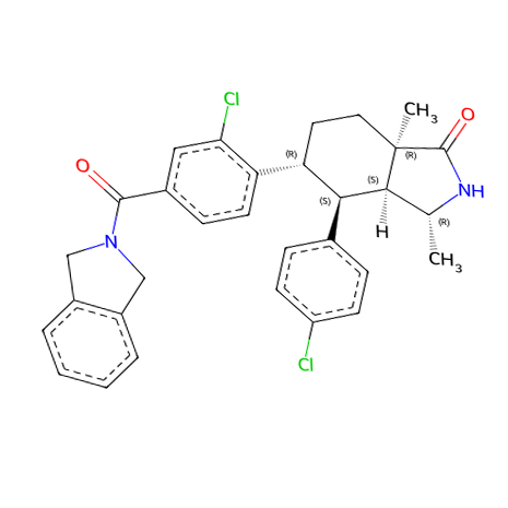 C[C@H]1NC(=O)[C@]2(C)CC[C@@H](c3ccc(C(=O)N4Cc5ccccc5C4)cc3Cl)[C@H](c3ccc(Cl)cc3)[C@H]12